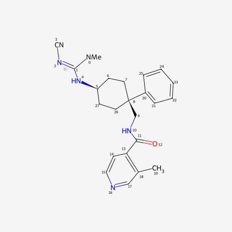 CN/C(=N\C#N)N[C@H]1CC[C@](CNC(=O)c2ccncc2C)(c2ccccc2)CC1